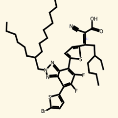 CCCCCCCCC(CCCCCC)Cn1nc2c(-c3ccc(Br)s3)c(F)c(F)c(-c3ccc(/C(CC(CC)CCCC)=C(\C#N)C(=O)O)s3)c2n1